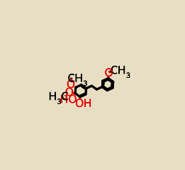 COc1cccc(CCC2=CC(OC)C(O)(OC)C(O)=C2)c1